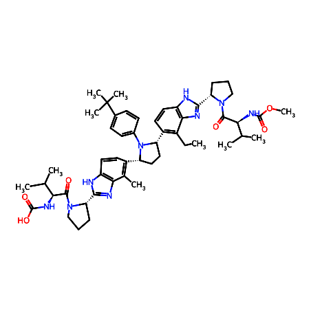 CCc1c([C@@H]2CC[C@H](c3ccc4[nH]c([C@@H]5CCCN5C(=O)[C@@H](NC(=O)O)C(C)C)nc4c3C)N2c2ccc(C(C)(C)C)cc2)ccc2[nH]c([C@@H]3CCCN3C(=O)[C@@H](NC(=O)OC)C(C)C)nc12